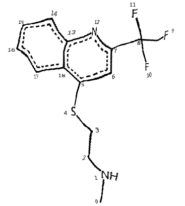 CNCCSc1cc(C(F)(F)F)nc2ccccc12